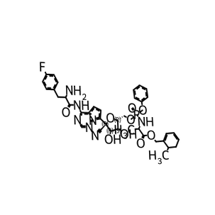 CC1CC=CC=C1COC(=O)C(C)NP(=O)(OC[C@H]1O[C@@](C#N)(c2ccc3c(NC(=O)C(N)Cc4ccc(F)cc4)ncnn23)[C@H](O)[C@@H]1O)Oc1ccccc1